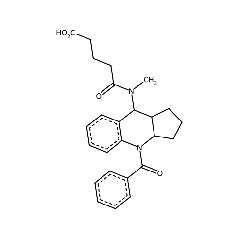 CN(C(=O)CCCC(=O)O)C1c2ccccc2N(C(=O)c2ccccc2)C2CCCC12